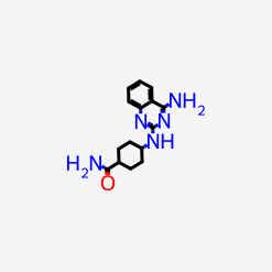 NC(=O)C1CCC(Nc2nc(N)c3ccccc3n2)CC1